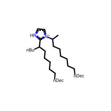 CCCCCCCCCCCCCCCCC(C)[n+]1cc[nH]c1C(CCCC)CCCCCCCCCCCCCCC